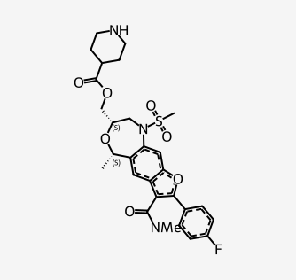 CNC(=O)c1c(-c2ccc(F)cc2)oc2cc3c(cc12)[C@H](C)O[C@H](COC(=O)C1CCNCC1)CN3S(C)(=O)=O